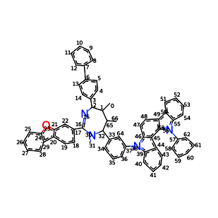 CC1C(c2ccc(-c3ccccc3)cc2)N=C(c2ccc3c(c2)oc2ccccc23)N(C)C(c2cccc(-n3c4ccccc4c4c3ccc3c5ccccc5n(-c5ccccc5)c34)c2)C1C